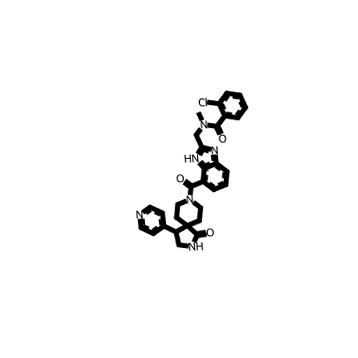 CN(Cc1nc2cccc(C(=O)N3CCC4(CC3)C(=O)NCC4c3ccncc3)c2[nH]1)C(=O)c1ccccc1Cl